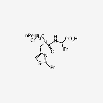 CC(C)c1nc(CN(C)C(=O)NC(C(=O)O)C(C)C)cs1.CCCCCCl